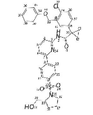 O=C(Nc1cccc(-c2ccc(S(=O)(=O)N3CCC[C@@H]3CO)cc2)n1)C1(c2ccc(Cl)c(COc3ccccc3)c2)CC1